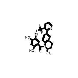 CC1CCc2cc(-c3ncccc3C(F)(F)F)ccc2N1C(=O)c1cc(Cl)c(O)cc1O